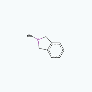 CC(C)(C)P1Cc2ccccc2C1